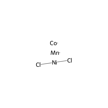 [Cl][Ni][Cl].[Co].[Mn]